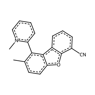 Cc1ccc2oc3c(C#N)cccc3c2c1-c1cccc[n+]1C